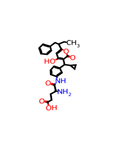 CCC(Cc1ccccc1)c1cc(O)c(C(c2cccc(NC(=O)[C@@H](N)CCC(=O)O)c2)C2CC2)c(=O)o1